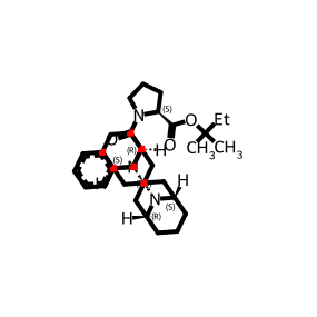 CCC(C)(C)OC(=O)[C@@H]1CCCN1C(=O)CN(c1ccccc1)[C@H]1C[C@H]2CCC[C@@H](C1)N2[C@H]1C[C@@H]2CCC[C@@H](C2)C1